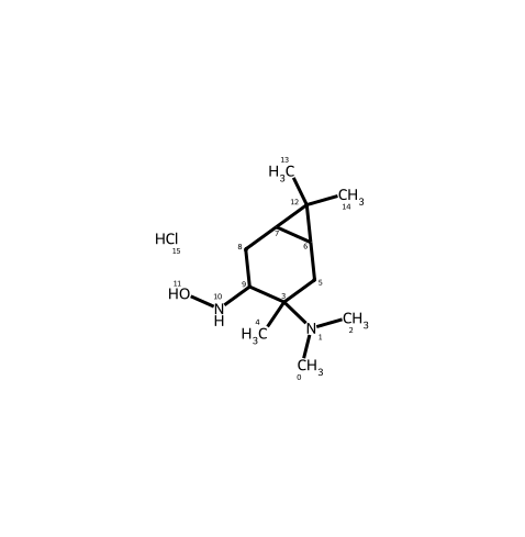 CN(C)C1(C)CC2C(CC1NO)C2(C)C.Cl